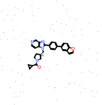 O=C(C1CC1)N1CC[C@@H](Cn2c(-c3ccc(-c4ccc5occc5c4)cc3)nc3cnccc32)C1